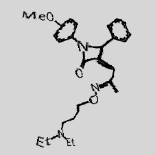 CCN(CC)CCCON=C(C)C=C1C(=O)N(c2ccc(OC)cc2)C1c1ccccc1